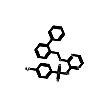 Cc1ccc(S(=O)(=O)Nc2nccnc2OCc2ccccc2-c2ccccc2)cc1